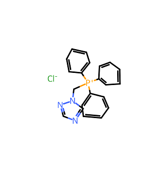 [Cl-].c1ccc([P+](Cn2cncn2)(c2ccccc2)c2ccccc2)cc1